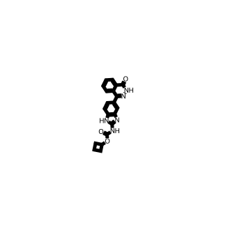 O=C(Nc1nc2cc(-c3n[nH]c(=O)c4ccccc34)ccc2[nH]1)OC1CCC1